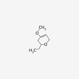 CCC1CC(OC)=CCO1